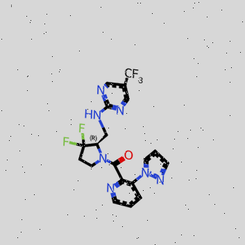 O=C(c1ncccc1-n1cccn1)N1CCC(F)(F)[C@H]1CNc1ncc(C(F)(F)F)cn1